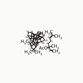 C=CC(C)(CCC=C(C)C)OC(C)=O.CC1=C2CC(CC1C1(C3C(C)=C4CC(C3O)C4(C)C)CC3CC(=C1C)C3(C)C)C2(C)C